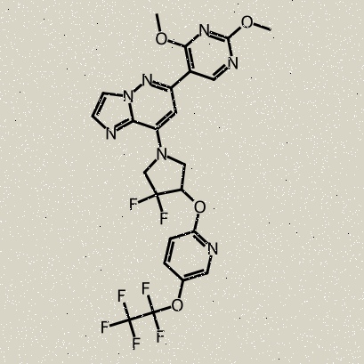 COc1ncc(-c2cc(N3CC(Oc4ccc(OC(F)(F)C(F)(F)F)cn4)C(F)(F)C3)c3nccn3n2)c(OC)n1